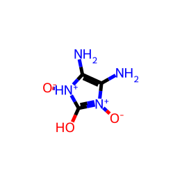 NC1=C(N)[NH+]([O-])C(O)=[N+]1[O-]